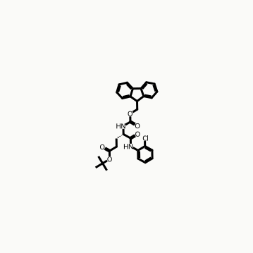 CC(C)(C)OC(=O)CC[C@H](NC(=O)OCC1c2ccccc2-c2ccccc21)C(=O)Nc1ccccc1Cl